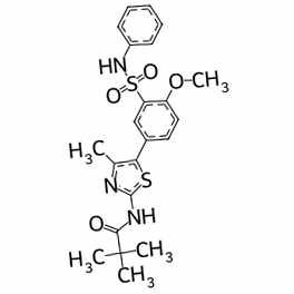 COc1ccc(-c2sc(NC(=O)C(C)(C)C)nc2C)cc1S(=O)(=O)Nc1ccccc1